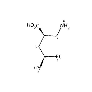 CCC[C@H](CC)C[C@H](CN)C(=O)O